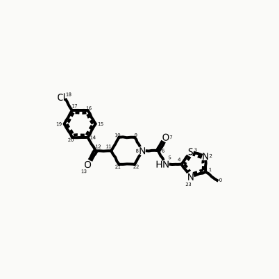 Cc1nsc(NC(=O)N2CCC(C(=O)c3ccc(Cl)cc3)CC2)n1